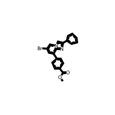 COC(=O)c1ccc(-c2cc(Br)cn3cc(-c4ccccc4)nc23)cc1